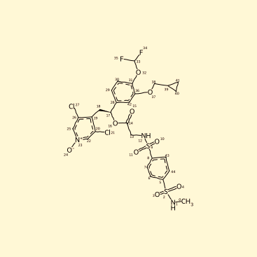 CNS(=O)(=O)c1ccc(S(=O)(=O)NCC(=O)O[C@@H](Cc2c(Cl)c[n+]([O-])cc2Cl)c2ccc(OC(F)F)c(OCC3CC3)c2)cc1